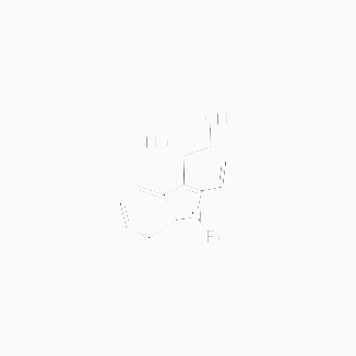 CCN1C2=C(C3=CC=CCC31)C(C)C(C)C=C2